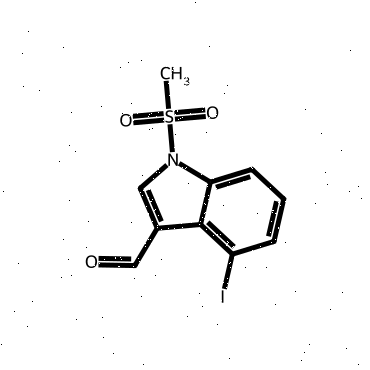 CS(=O)(=O)n1cc(C=O)c2c(I)cccc21